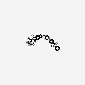 CCCC(C(=O)NC=O)N1C(=O)c2cc3c(cc2C1=O)CN(CC1CCN(c2ccc(C(=O)NC4CCCCC4)cc2)CC1)C3